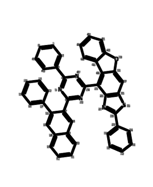 c1ccc(-c2nc(-c3cc4ccccc4cc3-c3ccccc3)nc(-c3c4nc(-c5ccccc5)sc4cc4oc5ccccc5c34)n2)cc1